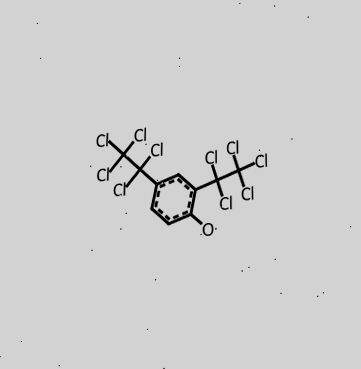 [O]c1ccc(C(Cl)(Cl)C(Cl)(Cl)Cl)cc1C(Cl)(Cl)C(Cl)(Cl)Cl